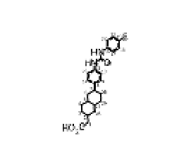 O=C(O)CC1CCC2CC(c3ccc(NC(=O)Nc4ccc(F)cc4)cc3)CCC2C1